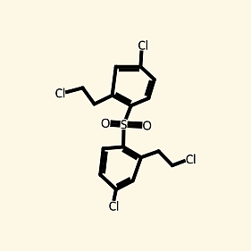 O=S(=O)(c1ccc(Cl)cc1CCCl)c1ccc(Cl)cc1CCCl